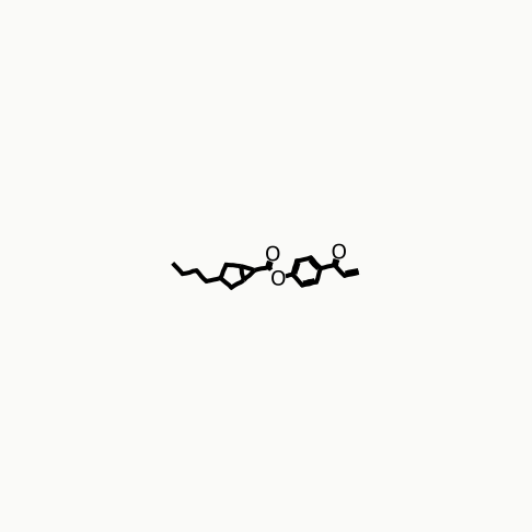 C=CC(=O)c1ccc(OC(=O)C2C3CC(CCCC)CC32)cc1